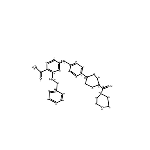 NC(=O)c1cnc(Nc2ccc(N3CCN(C(=O)N4CCOCC4)CC3)cc2)cc1NCc1ccccc1